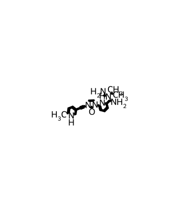 CC1=CC=C(C#CN2CCN(C3=CC=CC(C(N)N(CN)C(C)C)N3)C2=O)CN1